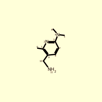 Cc1nc(N(C)C)ccc1CN